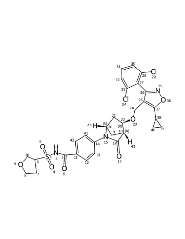 O=C(NS(=O)(=O)C1CCOC1)c1ccc(N2C(=O)[C@@H]3C[C@H]2C[C@H]3OCc2c(-c3c(Cl)cccc3Cl)noc2C2CC2)cc1